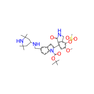 COc1cc(-c2cc3cc(CNC4CC(C)(C)NC(C)(C)C4)ccc3n2C(=O)OC(C)(C)C)c2c(c1OS(C)(=O)=O)CNC2=O